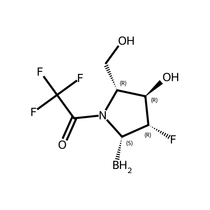 B[C@H]1[C@@H](F)[C@H](O)[C@@H](CO)N1C(=O)C(F)(F)F